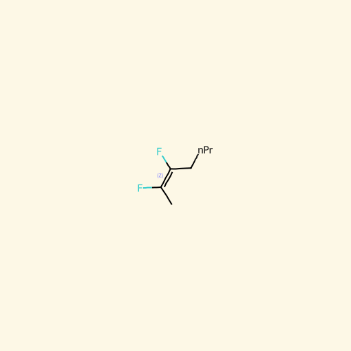 CCCC/C(F)=C(\C)F